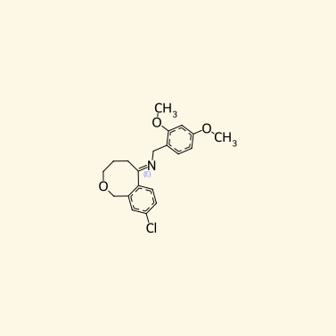 COc1ccc(C/N=C2\CCCOCc3cc(Cl)ccc32)c(OC)c1